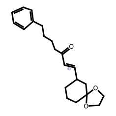 O=C(/C=C/C1CCCC2(C1)OCCO2)CCCCc1ccccc1